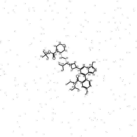 CCN(C(=O)c1cc(F)ccc1-c1cc(C2CN([C@@H](CC[C@H]3COCCN3C(=O)OC(C)(C)C)C(C)C)C2)cn2c(C)ncc12)C(C)C